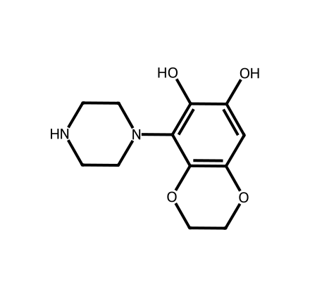 Oc1cc2c(c(N3CCNCC3)c1O)OCCO2